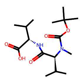 CC(C)[C@H](NC(=O)[C@H](C(C)C)N(C)C(=O)OC(C)(C)C)C(=O)O